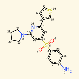 Nc1ccc(S(=O)(=O)c2cc(-c3ccsc3)nc(N3CCCC3)c2)cc1